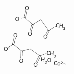 CC(=O)CC(=O)C(=O)[O-].CC(=O)CC(=O)C(=O)[O-].O.[Co+2]